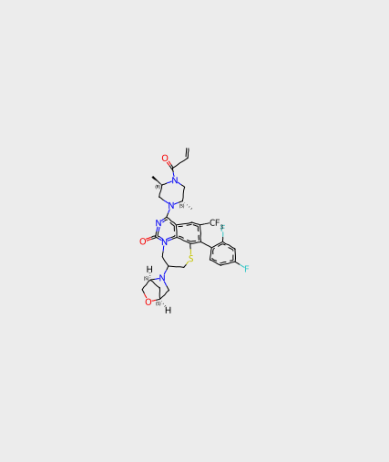 C=CC(=O)N1C[C@H](C)N(c2nc(=O)n3c4c(c(-c5ccc(F)cc5F)c(C(F)(F)F)cc24)SCC(N2C[C@@H]4C[C@H]2CO4)C3)C[C@H]1C